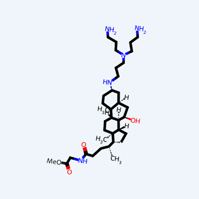 COC(=O)CNC(=O)CC[C@@H](C)[C@H]1CC[C@H]2[C@@H]3[C@H](O)C[C@@H]4C[C@@H](NCCCN(CCCN)CCCN)CC[C@]4(C)[C@H]3CC[C@]12C